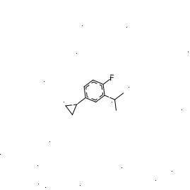 CC(C)c1cc(C2CC2)ccc1F